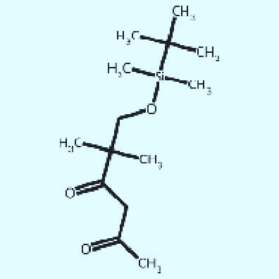 CC(=O)CC(=O)C(C)(C)CO[Si](C)(C)C(C)(C)C